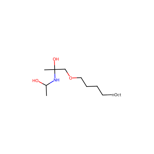 CCCCCCCCCCCCOCC(C)(O)NC(C)O